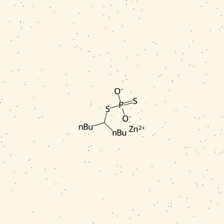 CCCCC(CCCC)SP([O-])([O-])=S.[Zn+2]